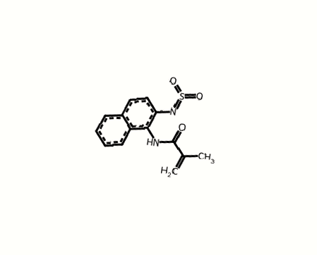 C=C(C)C(=O)Nc1c(N=S(=O)=O)ccc2ccccc12